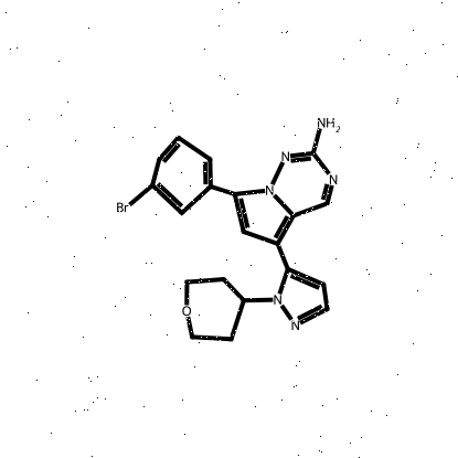 Nc1ncc2c(-c3ccnn3C3CCOCC3)cc(-c3cccc(Br)c3)n2n1